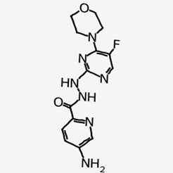 Nc1ccc(C(=O)NNc2ncc(F)c(N3CCOCC3)n2)nc1